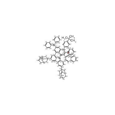 CC(C)(C)c1ccc(N2c3cc(N(c4ccccc4)c4ccccc4)cc4c3B(c3c2oc2c3ccc3ccccc32)n2c3ccc(C56CC7CC(CC(C7)C5)C6)cc3c3cc(C56CC7CC(CC(C7)C5)C6)cc-4c32)c(-c2ccccc2)c1